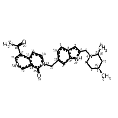 C[C@H]1CCN(Cc2cc3ccc(Cn4ccc5c(C(N)=O)cncc5c4=O)cc3[nH]2)[C@@H](C)C1